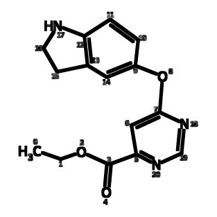 CCOC(=O)c1cc(Oc2ccc3c(c2)CCN3)ncn1